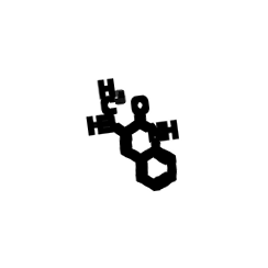 CBc1cc2ccccc2[nH]c1=O